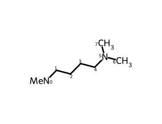 CNCCCCN(C)C